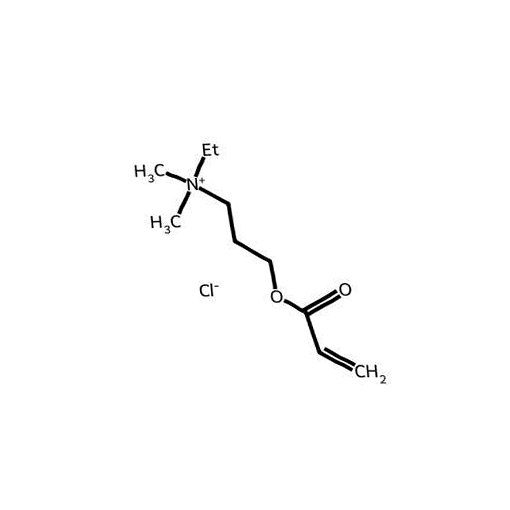 C=CC(=O)OCCC[N+](C)(C)CC.[Cl-]